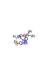 CCC(=O)c1ccc(Nc2nc3ccc(C(=O)N(CCC(C)C)CCC(C)C)cc3n2CCCN(C)C)cc1